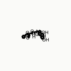 C[C@H](CCNC(=O)CCC(CP(C)(C)=O)C(=O)OCc1ccccc1)C1CCC2C3C(C[C@H](O)[C@@]21C)[C@@]1(C)CC[C@@H](O)C[C@H]1C[C@@H]3O